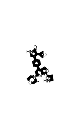 C[C@@H]1COCCN1c1cc(-c2ccc(C3CNC(=O)C3C3COC3)cc2)c2cnn(-c3cc[nH]n3)c2n1